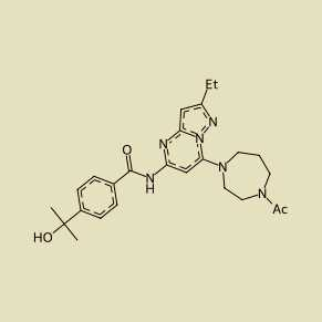 CCc1cc2nc(NC(=O)c3ccc(C(C)(C)O)cc3)cc(N3CCCN(C(C)=O)CC3)n2n1